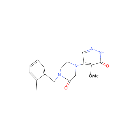 COc1c(N2CCN(Cc3ccccc3C)C(=O)C2)cn[nH]c1=O